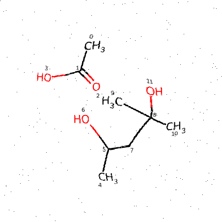 CC(=O)O.CC(O)CC(C)(C)O